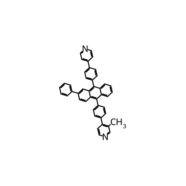 Cc1cnccc1-c1ccc(-c2c3ccccc3c(-c3ccc(-c4ccncc4)cc3)c3cc(-c4ccccc4)ccc23)cc1